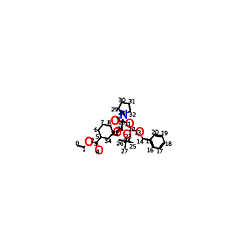 CCOC(=O)C1CCC(OC(OCOCc2ccccc2)(C(=O)OC(C)(C)C)N2CCCC2)CC1